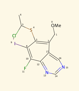 COCc1c(SC(C)Cl)c(I)c(F)c2ncncc12